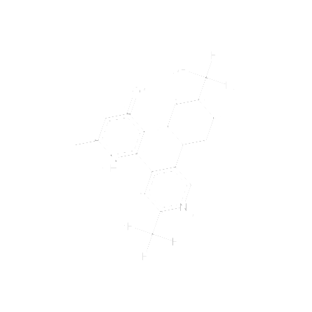 Cc1cc(=O)cc(-c2cc(C(F)(F)F)ncc2C2CCC(C(F)(F)F)CC2)[nH]1